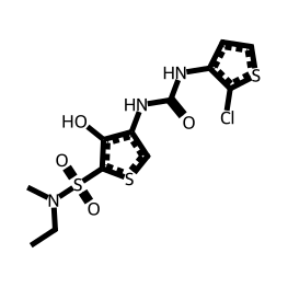 CCN(C)S(=O)(=O)c1scc(NC(=O)Nc2ccsc2Cl)c1O